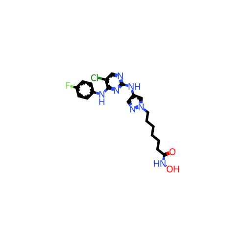 O=C(CCCCCCn1cc(Nc2ncc(Cl)c(Nc3ccc(F)cc3)n2)cn1)NO